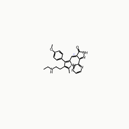 CCNCCc1c(C)[nH]c(/C=C2/C(=O)NN=C2c2cnccn2)c1-c1ccc(OC)cc1